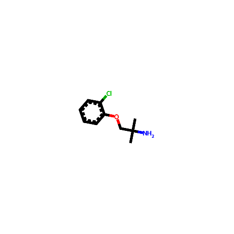 CC(C)(N)COc1ccccc1Cl